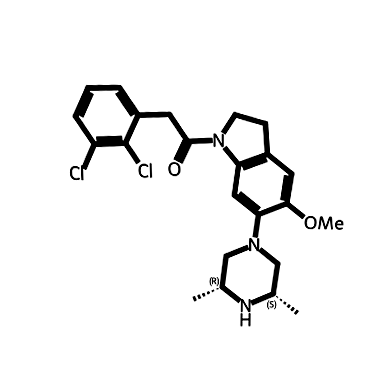 COc1cc2c(cc1N1C[C@@H](C)N[C@@H](C)C1)N(C(=O)Cc1cccc(Cl)c1Cl)CC2